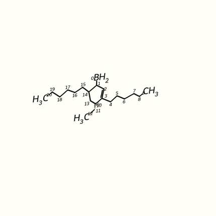 BC1C=C(CCCCCC)[C@H](CC)CC1CCCCCC